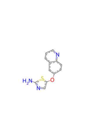 Nc1ncc(Oc2ccc3ncccc3c2)s1